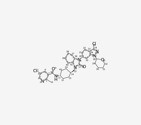 Cc1ncc(Cl)cc1C(=O)N[C@H]1CC[C@H](Cn2c(=O)n(-c3ccc4c(Cl)nn(C5CCCCO5)c4c3)c3ccccc32)CC1